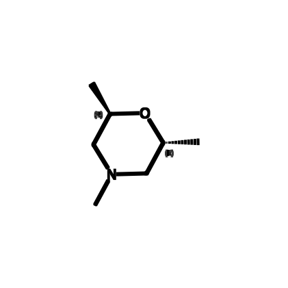 C[C@@H]1CN(C)C[C@@H](C)O1